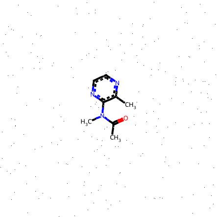 CC(=O)N(C)c1nccnc1C